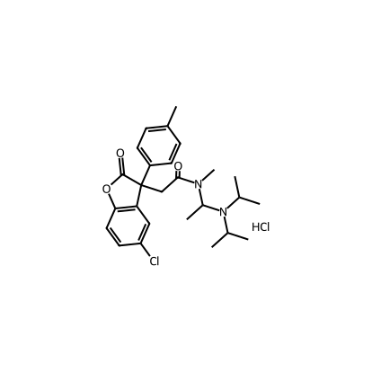 Cc1ccc(C2(CC(=O)N(C)C(C)N(C(C)C)C(C)C)C(=O)Oc3ccc(Cl)cc32)cc1.Cl